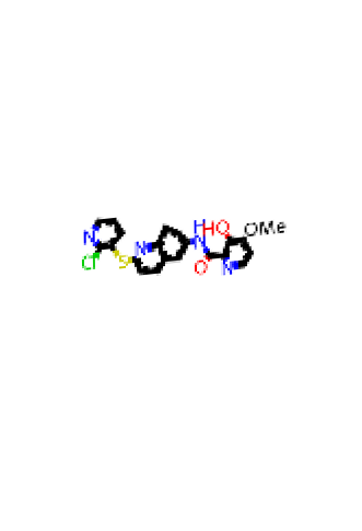 COc1ccnc(C(=O)Nc2ccc3nc(Sc4cccnc4Cl)ccc3c2)c1O